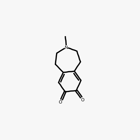 CN1CCC2=CC(=O)C(=O)C=C2CC1